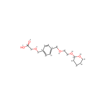 O=C(O)COCc1ccc(COCCOC2CCCCO2)cc1